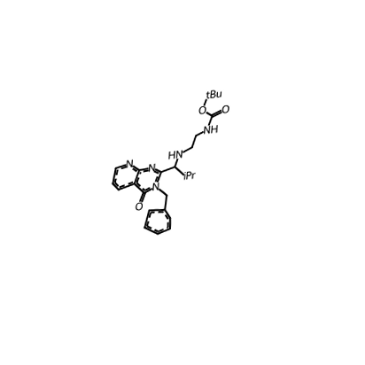 CC(C)C(NCCNC(=O)OC(C)(C)C)c1nc2ncccc2c(=O)n1Cc1ccccc1